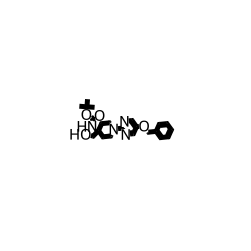 CC(C)(C)OC(=O)NC1(CO)CCN(c2ncc(OCc3ccccc3)cn2)CC1